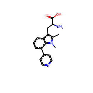 Cc1c(CC(N)C(=O)O)c2cccc(-c3ccncc3)c2n1C